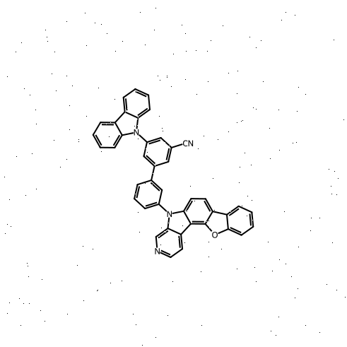 N#Cc1cc(-c2cccc(-n3c4cnccc4c4c5oc6ccccc6c5ccc43)c2)cc(-n2c3ccccc3c3ccccc32)c1